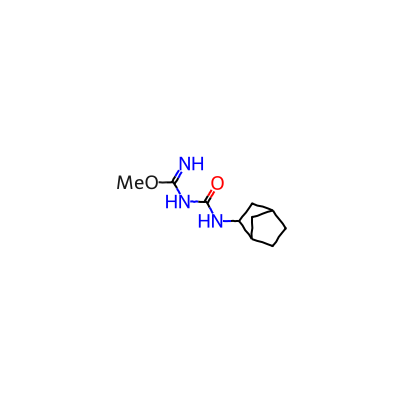 COC(=N)NC(=O)NC1CC2CCC1C2